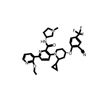 CCOc1ncccc1-c1ccc(N2CC[C@H](Oc3ccc(C(F)(F)F)cc3C#N)CC2C2CC2)c(C(=O)N[C@@H]2CCN(C)C2)n1